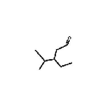 [CH2]C(C)C(CC)CC=O